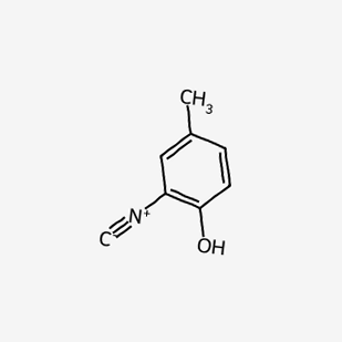 [C-]#[N+]c1cc(C)ccc1O